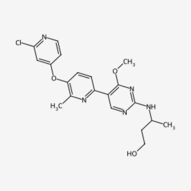 COc1nc(NC(C)CCO)ncc1-c1ccc(Oc2ccnc(Cl)c2)c(C)n1